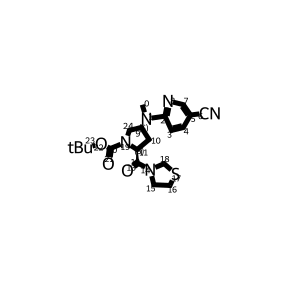 CN(c1ccc(C#N)cn1)[C@H]1C[C@@H](C(=O)N2CCSC2)N(C(=O)OC(C)(C)C)C1